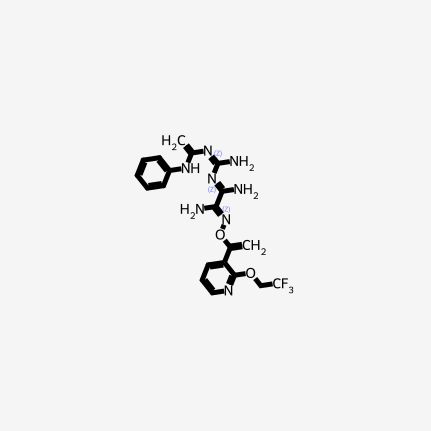 C=C(\N=C(N)/N=C(N)/C(N)=N/OC(=C)c1cccnc1OCC(F)(F)F)Nc1ccccc1